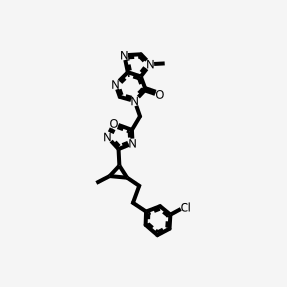 CC1C(CCc2cccc(Cl)c2)C1c1noc(Cn2cnc3ncn(C)c3c2=O)n1